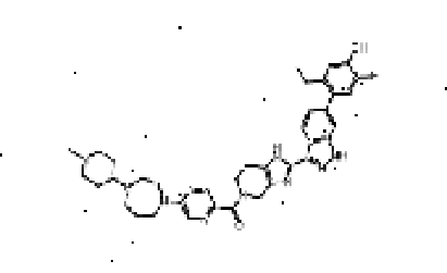 CCc1cc(O)c(F)cc1-c1ccc2c(-c3nc4c([nH]3)CCN(C(=O)c3cnc(N5CCCN(C6CCN(C)CC6)CC5)cn3)C4)n[nH]c2c1